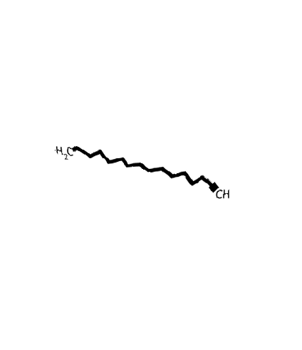 C#CCCCCCCCCCCCCC[CH2]